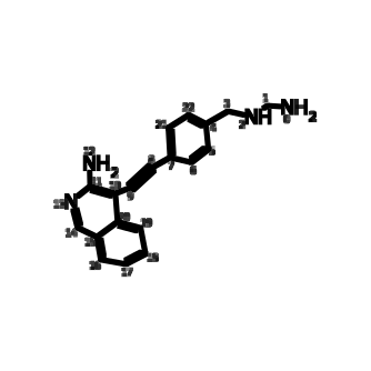 NCNCc1ccc(C#Cc2c(N)ncc3ccccc23)cc1